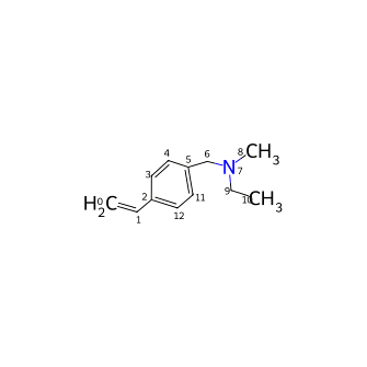 C=Cc1ccc(CN(C)CC)cc1